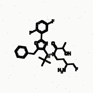 CC(O)C(=O)N(CCC(N)CF)[C@@H](c1nc(-c2cc(F)ccc2F)oc1Cc1ccccc1)C(C)(C)C